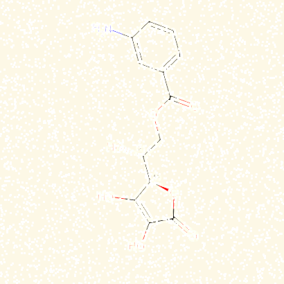 Nc1cccc(C(=O)OC[C@@H](O)[C@H]2OC(=O)C(O)=C2O)c1